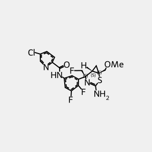 COC[C@]12C[C@H]1[C@@](CF)(c1cc(NC(=O)c3ccc(Cl)cn3)cc(F)c1F)N=C(N)S2